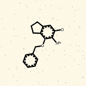 CCCc1c(Cl)cc2c(c1OCc1ccccc1)CCC2